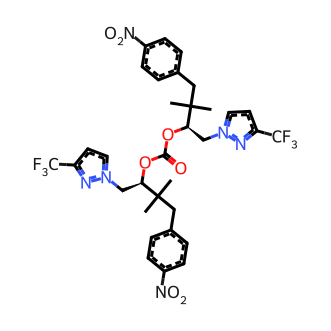 CC(C)(Cc1ccc([N+](=O)[O-])cc1)[C@@H](Cn1ccc(C(F)(F)F)n1)OC(=O)O[C@H](Cn1ccc(C(F)(F)F)n1)C(C)(C)Cc1ccc([N+](=O)[O-])cc1